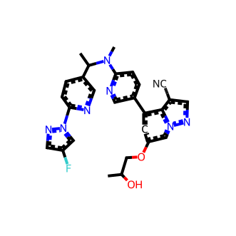 CC(O)COc1cc(-c2ccc(N(C)C(C)c3ccc(-n4cc(F)cn4)nc3)nc2)c2c(C#N)cnn2c1